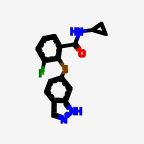 O=C(NC1CC1)c1cccc(F)c1Sc1ccc2cn[nH]c2c1